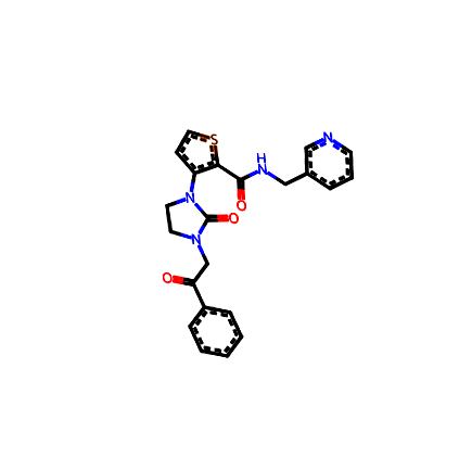 O=C(CN1CCN(c2ccsc2C(=O)NCc2cccnc2)C1=O)c1ccccc1